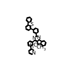 CC1(C)c2ccccc2-c2nc(-c3cccc(-c4cccc5c4sc4ccccc45)c3)nc(-c3cccc(-c4cccnc4)c3)c21